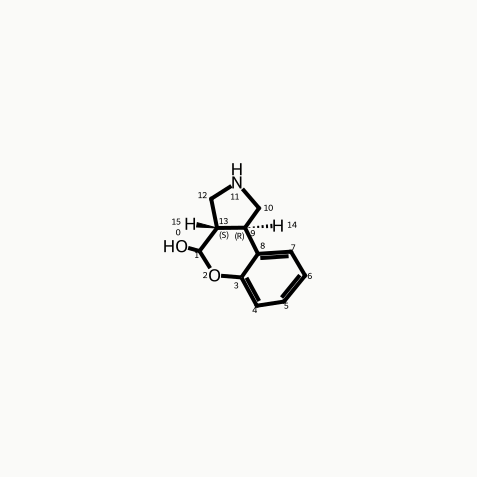 OC1Oc2ccccc2[C@@H]2CNC[C@@H]12